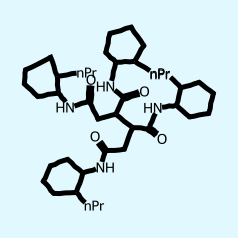 CCCC1CCCCC1NC(=O)CC(C(=O)NC1CCCCC1CCC)C(CC(=O)NC1CCCCC1CCC)C(=O)NC1CCCCC1CCC